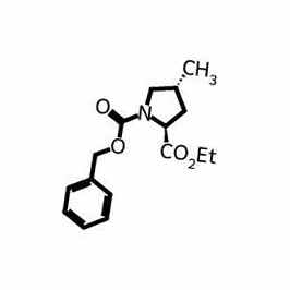 CCOC(=O)[C@@H]1C[C@@H](C)CN1C(=O)OCc1ccccc1